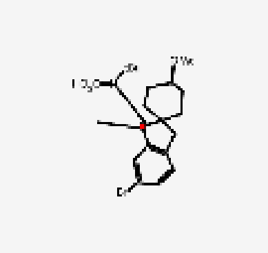 COC1CCC2(CC1)Cc1ccc(Br)cc1C21N=C(C)C(N(C(=O)O)C(C)(C)C)=N1